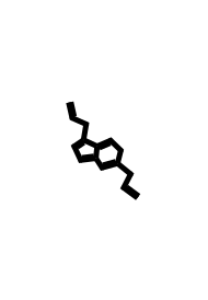 C=CCC1=CC2=CC=C(CC=C)C2=CC1